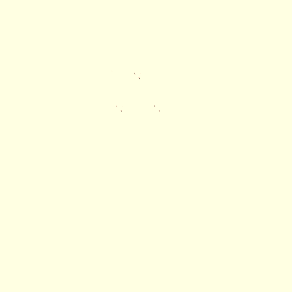 CN(C)c1ncc(-c2cccc(CO)c2F)cn1